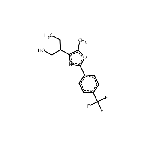 CCC(CO)c1nc(-c2ccc(C(F)(F)F)cc2)oc1C